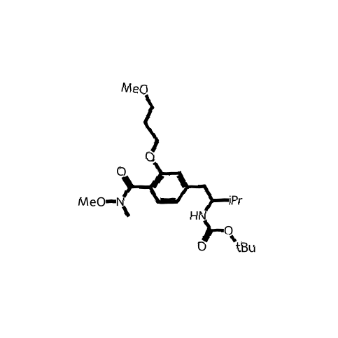 COCCCOc1cc(CC(NC(=O)OC(C)(C)C)C(C)C)ccc1C(=O)N(C)OC